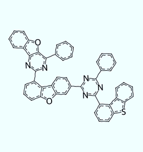 c1ccc(-c2nc(-c3ccc4c(c3)oc3cccc(-c5nc(-c6ccccc6)c6oc7ccccc7c6n5)c34)nc(-c3cccc4sc5ccccc5c34)n2)cc1